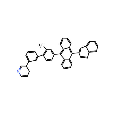 Cc1cc(-c2c3ccccc3c(-c3ccc4ccccc4c3)c3ccccc23)ccc1-c1cccc(C2C=NC=CC2)c1